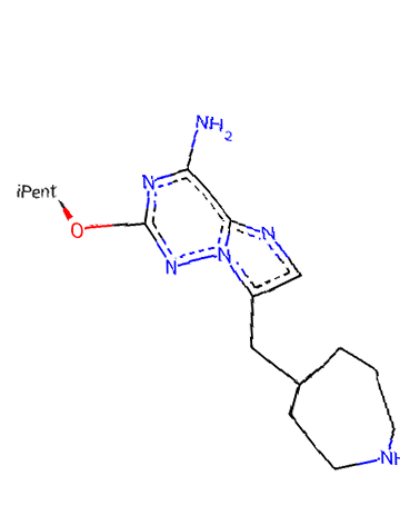 CCC[C@H](C)Oc1nc(N)c2ncc(CC3CCCNCC3)n2n1